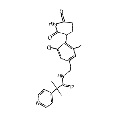 Cc1cc(CNC(=O)C(C)(C)c2ccncc2)cc(Cl)c1C1CCC(=O)NC1=O